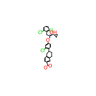 COC(=O)c1ccc2c(c1)CCC(c1ccc(OC/C(Cc3c(Cl)cccc3Cl)=C(/O)C3CC3)cc1Cl)C2